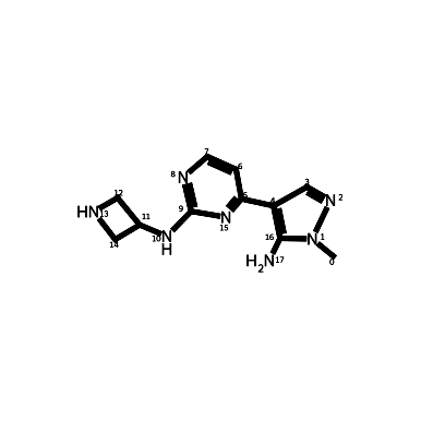 Cn1ncc(-c2ccnc(NC3CNC3)n2)c1N